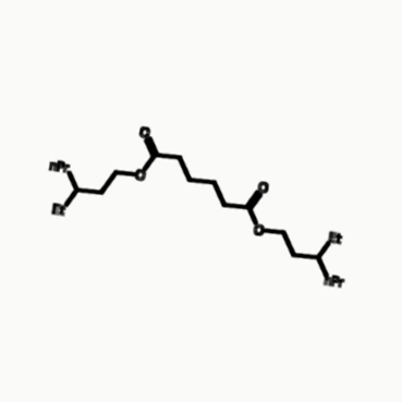 CCCC(CC)CCOC(=O)CCCCC(=O)OCCC(CC)CCC